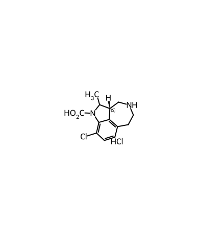 CC1[C@@H]2CNCCc3ccc(Cl)c(c32)N1C(=O)O.Cl